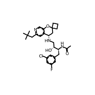 CC(=O)N[C@@H](Cc1cc(F)cc(Cl)c1)[C@H](O)CN[C@H]1CC2(CCC2)Oc2cnc(CC(C)(C)C)cc21